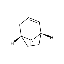 C1=C[C@@H]2CC[C@H](C1)N2